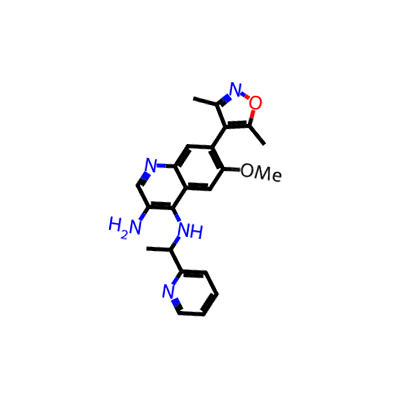 COc1cc2c(NC(C)c3ccccn3)c(N)cnc2cc1-c1c(C)noc1C